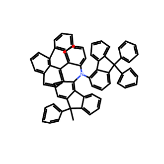 CC1(c2ccccc2)c2ccccc2-c2c(N(c3ccccc3-c3cccc4cccc(-c5ccccc5)c34)c3cccc4c3-c3ccccc3C4(c3ccccc3)c3ccccc3)cccc21